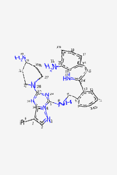 CC(C)c1cnn2c(NCc3ccccc3-c3cc4cccc(N)c4[nH]3)nc(N3CCC(N)CC3)nc12